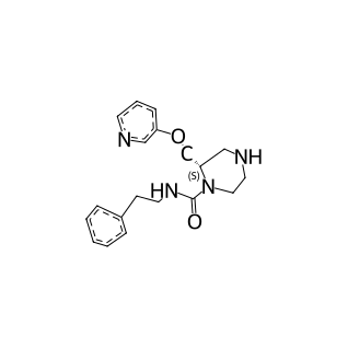 O=C(NCCc1ccccc1)N1CCNC[C@H]1COc1cccnc1